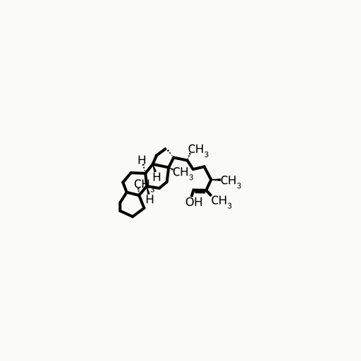 CC(=CO)[C@H](C)CC[C@@H](C)[C@H]1CC[C@H]2[C@@H]3CCC4CCCC[C@]4(C)[C@H]3CC[C@]12C